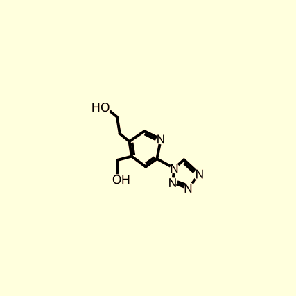 OCCc1cnc(-n2cnnn2)cc1CO